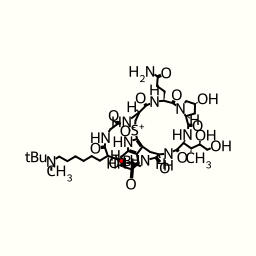 CC[C@H](C)[C@@H]1NC(=O)CNC(=O)[C@@H]2Cc3c4[nH]c5cc(ccc35)OC1(CCCCCCN(C)C(C)(C)C)C(=O)NCC(=O)N[C@@H](C[S+]4[O-])C(=O)N[C@@H](CCC(N)=O)C(=O)N1C[C@H](O)C[C@H]1C(=O)N[C@@H]([C@@H](C)[C@@H](O)CO)C(=O)N2